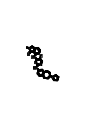 CN1Cc2cccc(Nc3nc(Nc4ccc5c(c4)CCC(N4CCCC4)CC5)ncc3Cl)c2C1=O